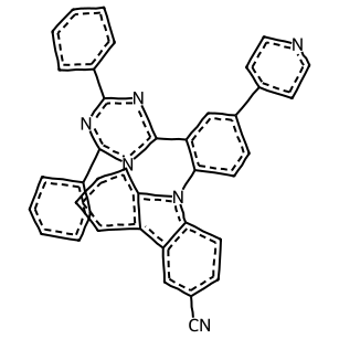 N#Cc1ccc2c(c1)c1ccccc1n2-c1ccc(-c2ccncc2)cc1-c1nc(-c2ccccc2)nc(-c2ccccc2)n1